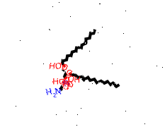 CCCCCCCCCCCCCCCC(O)OC[C@H](COP(=O)(O)OCCN)OC(O)CCCCCCCCCCCCCCC